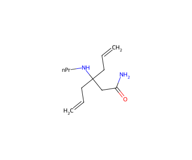 C=CCC(CC=C)(CC(N)=O)NCCC